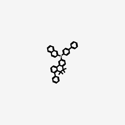 CC1(C)c2ccc(N(c3ccc(-c4ccccc4)cc3)c3ccc4ccccc4c3)cc2-c2cccc(-c3ccccc3)c2C1(C)C